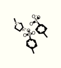 Cc1ccc(S(=O)(=O)O[C@@H]2CC[S+](C)C2)cc1.Cc1ccc(S(=O)(=O)[O-])cc1